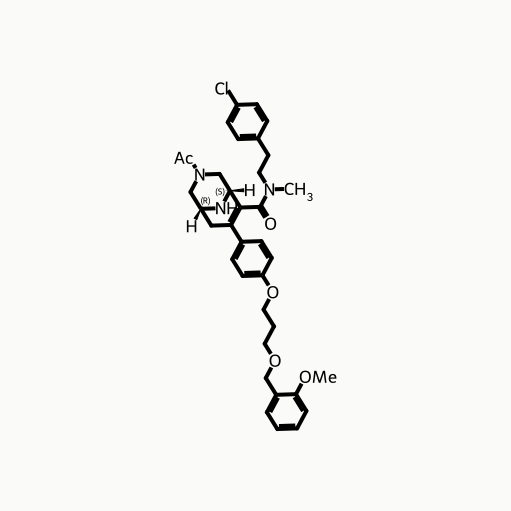 COc1ccccc1COCCCOc1ccc(C2=C(C(=O)N(C)CCc3ccc(Cl)cc3)[C@H]3CN(C(C)=O)C[C@@H](C2)N3)cc1